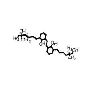 CC(C)(CO)CCCCC1CCCC(CCC2CCCC(CCCCC(C)(C)CO)C2O)C1O